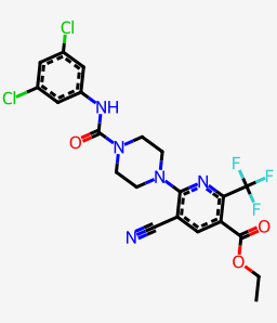 CCOC(=O)c1cc(C#N)c(N2CCN(C(=O)Nc3cc(Cl)cc(Cl)c3)CC2)nc1C(F)(F)F